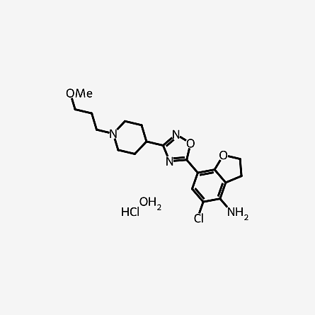 COCCCN1CCC(c2noc(-c3cc(Cl)c(N)c4c3OCC4)n2)CC1.Cl.O